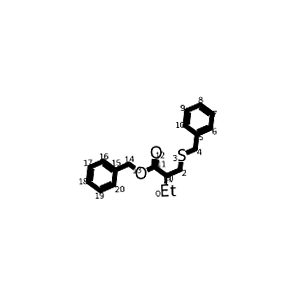 CC[C@H](CSCc1ccccc1)C(=O)OCc1ccccc1